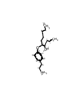 C=CCC(O)C(CCCCC)Oc1ccc(CCN)cc1